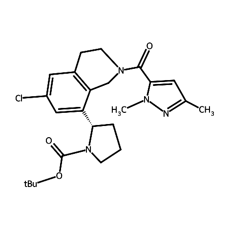 Cc1cc(C(=O)N2CCc3cc(Cl)cc([C@@H]4CCCN4C(=O)OC(C)(C)C)c3C2)n(C)n1